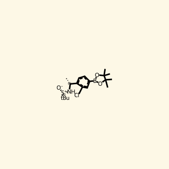 C[C@@H](N[S@@+]([O-])C(C)(C)C)c1ccc(B2OC(C)(C)C(C)(C)O2)cc1Cl